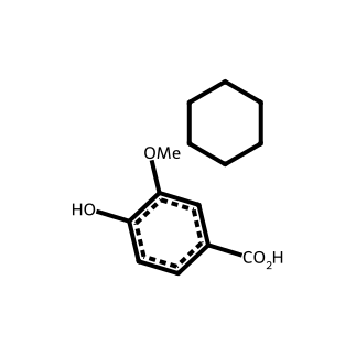 C1CCCCC1.COc1cc(C(=O)O)ccc1O